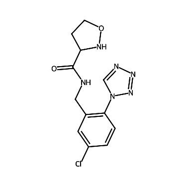 O=C(NCc1cc(Cl)ccc1-n1cnnn1)C1CCON1